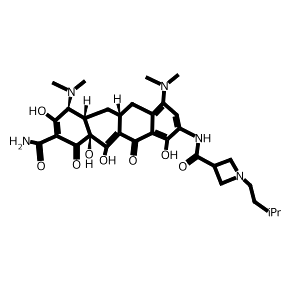 CC(C)CCN1CC(C(=O)Nc2cc(N(C)C)c3c(c2O)C(=O)C2=C(O)[C@]4(O)C(=O)C(C(N)=O)=C(O)[C@@H](N(C)C)[C@@H]4C[C@@H]2C3)C1